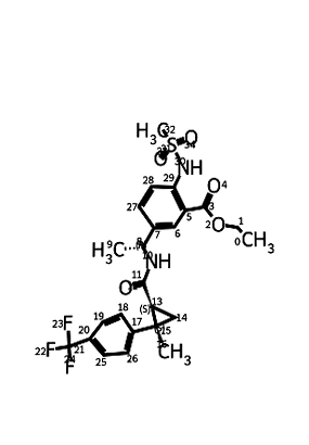 CCOC(=O)c1cc([C@@H](C)NC(=O)[C@H]2C[C@]2(C)c2ccc(C(F)(F)F)cc2)ccc1NS(C)(=O)=O